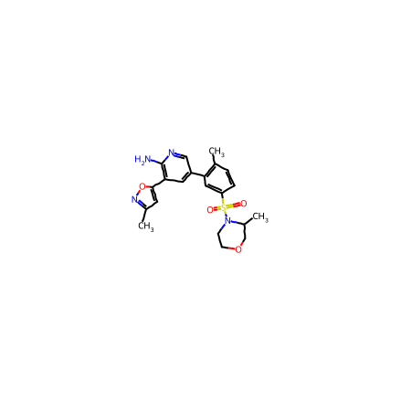 Cc1cc(-c2cc(-c3cc(S(=O)(=O)N4CCOCC4C)ccc3C)cnc2N)on1